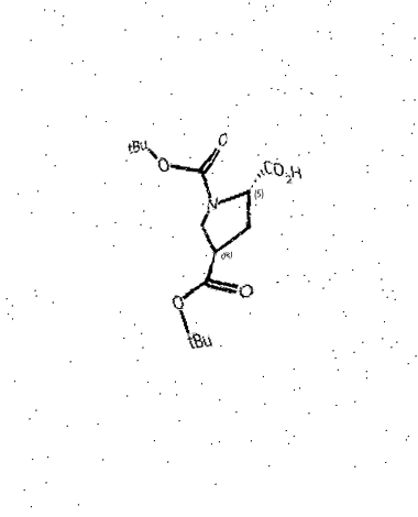 CC(C)(C)OC(=O)[C@@H]1C[C@@H](C(=O)O)N(C(=O)OC(C)(C)C)C1